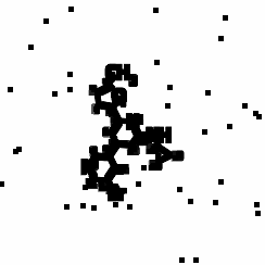 Cc1ccc(-c2cc(-c3cncc(Br)c3)cc(NC3CC3)n2)o1